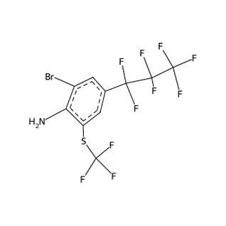 Nc1c(Br)cc(C(F)(F)C(F)(F)C(F)(F)F)cc1SC(F)(F)F